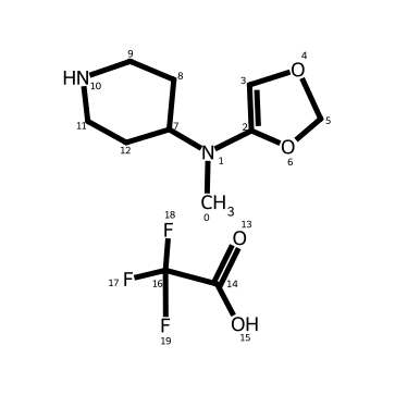 CN(C1=COCO1)C1CCNCC1.O=C(O)C(F)(F)F